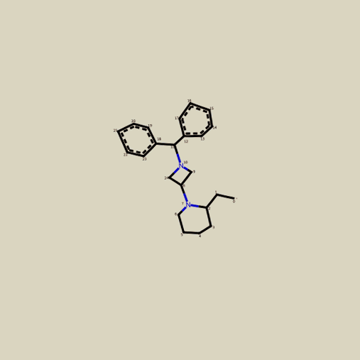 [CH2]CC1CCCCN1C1CN(C(c2ccccc2)c2ccccc2)C1